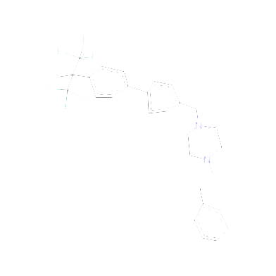 CC(c1ccc(-c2ccc(CN3CCN(CCc4ccccc4)CC3)cc2)cc1)(C(F)(F)F)C(F)(F)F